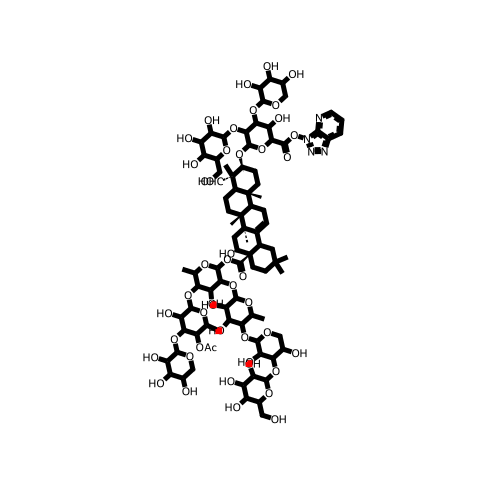 CC(=O)OC1C(C)OC(OC2C(C)OC(OC(=O)[C@]34CCC(C)(C)CC3C3=CCC5[C@@]6(C)CC[C@H](OC7OC(C(=O)On8nnc9cccnc98)C(O)C(OC8OCC(O)C(O)C8O)C7OC7OC(CO)C(O)C(O)C7O)[C@@](C)(C=O)C6CC[C@@]5(C)[C@]3(C)C[C@H]4O)C(OC3OC(C)C(OC4OCC(O)C(OC5OC(CO)C(O)C(O)C5O)C4O)C(O)C3O)C2O)C(O)C1OC1OCC(O)C(O)C1O